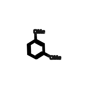 [CH2-][OH+]c1cccc(OC)c1